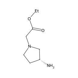 CCOC(=O)CN1CC[C@@H](N)C1